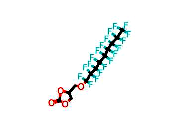 O=C1OCC(COC(F)(F)C(F)(F)C(F)(F)C(F)(F)C(F)(F)C(F)(F)C(F)(F)C(F)(F)C(F)(F)F)O1